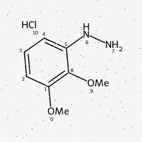 COc1cccc(NN)c1OC.Cl